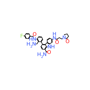 NCc1c(NC(=O)c2ccc(F)cc2)cccc1-c1ccc(C(N)=O)c2[nH]c3cc(NC(=O)CCN4CCCC4=O)ccc3c12